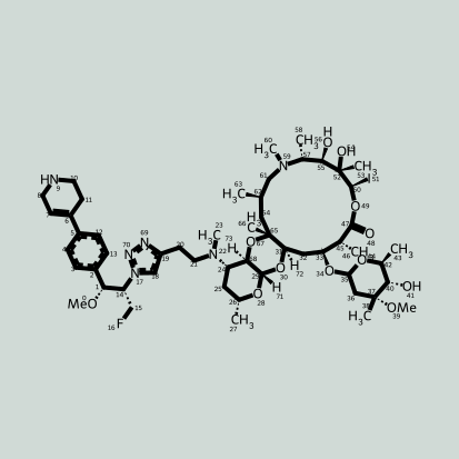 CO[C@H](c1ccc(C2=CCNCC2)cc1)[C@@H](CF)n1cc(CCN(C)[C@H]2C[C@@H](C)O[C@H]3O[C@@H]4C[C@H](OC5C[C@@](C)(OC)[C@@H](O)[C@H](C)O5)[C@@H](C)C(=O)O[C@H](I)[C@@](C)(O)[C@H](O)[C@@H](C)N(C)C[C@H](C)C[C@@]4(C)O[C@@H]32)nn1